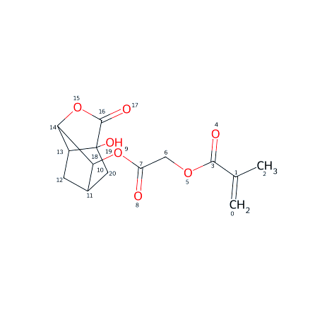 C=C(C)C(=O)OCC(=O)OC1C2CC3C1OC(=O)C3(O)C2